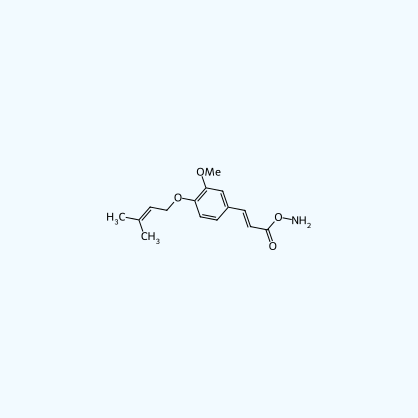 COc1cc(/C=C/C(=O)ON)ccc1OCC=C(C)C